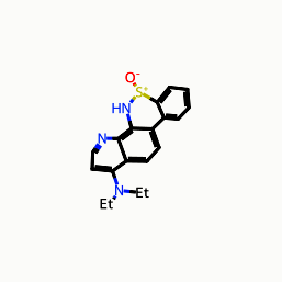 CCN(CC)c1ccnc2c3c(ccc12)-c1ccccc1[S+]([O-])N3